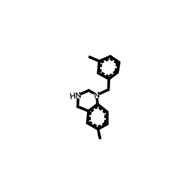 Cc1cccc(CN2CNCc3cc(C)ccc32)c1